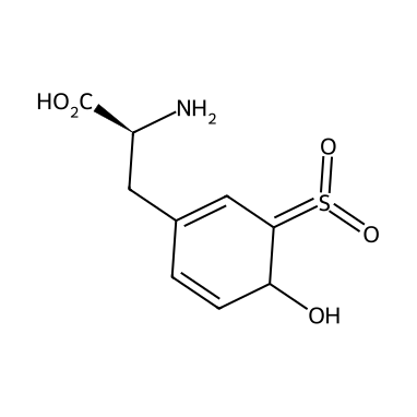 N[C@@H](CC1=CC(=S(=O)=O)C(O)C=C1)C(=O)O